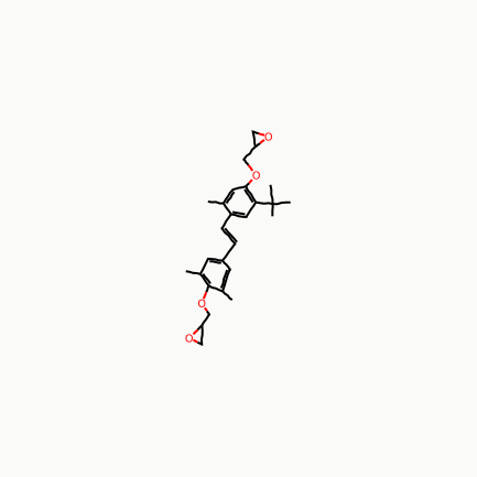 Cc1cc(OCC2CO2)c(C(C)(C)C)cc1C=Cc1cc(C)c(OCC2CO2)c(C)c1